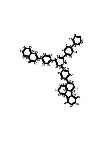 c1cncc(-c2ccc(-c3nc(-c4ccc(-c5ccc6ccccc6c5)cc4)cc(-c4ccc(-c5ccc6c7c(cccc57)-c5ccccc5-6)cc4)n3)cc2)c1